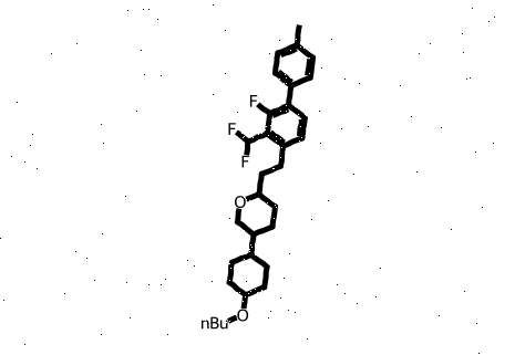 CCCCOC1CCC(C2CCC(CCc3ccc(-c4ccc(C)cc4)c(F)c3C(F)F)OC2)CC1